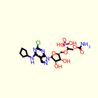 NC(=O)OCC(OC[C@H]1O[C@@H](n2ncc3c(NC4CCCC4)nc(Cl)nc32)[C@H](O)[C@@H]1O)P(=O)(O)O